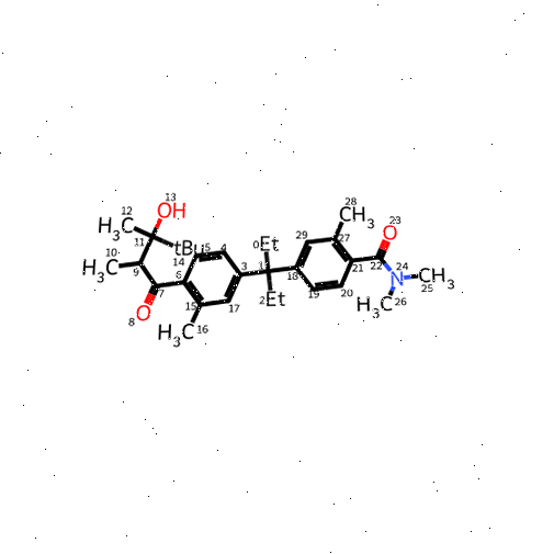 CCC(CC)(c1ccc(C(=O)C(C)C(C)(O)C(C)(C)C)c(C)c1)c1ccc(C(=O)N(C)C)c(C)c1